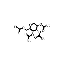 CCC(=O)OC[C@H]1O[CH][C@@H](OC(=O)CC)[C@H](OC(=O)CC)[C@H]1OC(=O)CC